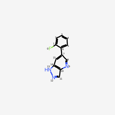 Fc1ccccc1-c1cnc2cn[nH]c2c1